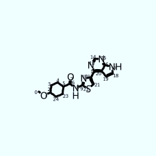 COC1CCC(C(=O)Nc2nc(-c3ncnc4[nH]ccc34)cs2)CC1